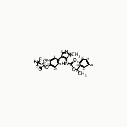 CC(OC(=O)Nc1c(-c2ccc(OS(=O)(=O)C(F)(F)F)cc2)cnn1C)c1ccccc1